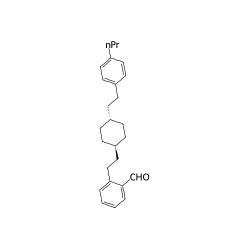 CCCc1ccc(CC[C@H]2CC[C@H](CCc3ccccc3C=O)CC2)cc1